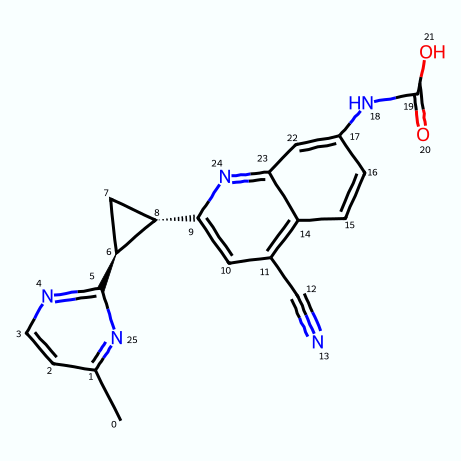 Cc1ccnc([C@H]2C[C@@H]2c2cc(C#N)c3ccc(NC(=O)O)cc3n2)n1